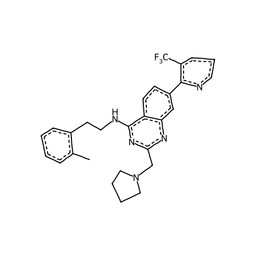 Cc1ccccc1CCNc1nc(CN2CCCC2)nc2cc(-c3ncccc3C(F)(F)F)ccc12